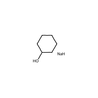 OC1CCCCC1.[NaH]